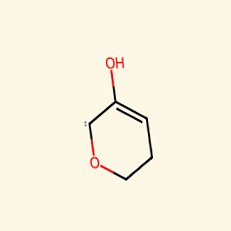 OC1=CCCO[C]1